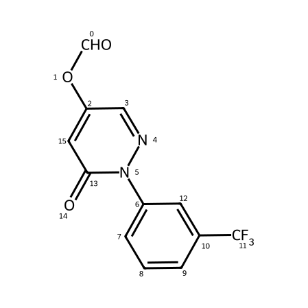 O=COc1cnn(-c2cccc(C(F)(F)F)c2)c(=O)c1